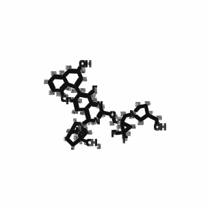 C[C@]12CCC(CN(c3nc(OC[C@]4(CN5CCC(CO)C5)CC4(F)F)nc4c(F)c(-c5cc(O)cc6cccc(Cl)c56)c(F)cc34)C1)N2